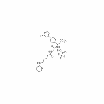 O=C(O)C(F)(F)F.O=C(O)CC(NC(=O)CNC(=O)CCCCNc1ccccn1)c1ccc(-c2cccc(F)c2)cc1